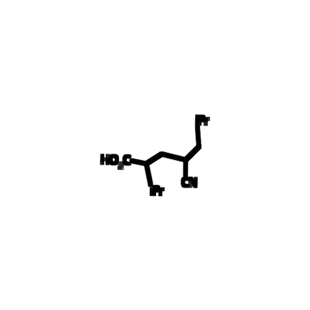 CC(C)CC(C#N)CC(C(=O)O)C(C)C